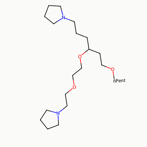 CCCCCOCCC(CCCN1CCCC1)OCCOCCN1CCCC1